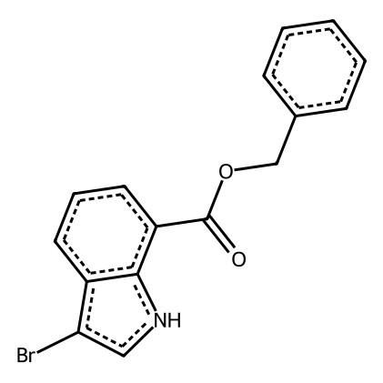 O=C(OCc1ccccc1)c1cccc2c(Br)c[nH]c12